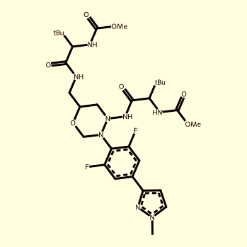 COC(=O)NC(C(=O)NCC1CN(NC(=O)C(NC(=O)OC)C(C)(C)C)N(c2c(F)cc(-c3ccn(C)n3)cc2F)CO1)C(C)(C)C